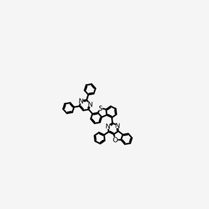 c1ccc(-c2cc(-c3cccc4c3sc3cccc(-c5nc(-c6ccccc6)c6oc7ccccc7c6n5)c34)nc(-c3ccccc3)n2)cc1